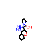 OC(C1NNC2C3CCCCC3OCC21)N1CCCC1